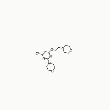 Clc1cc(OCCN2CCOCC2)nc(N2CCOCC2)n1